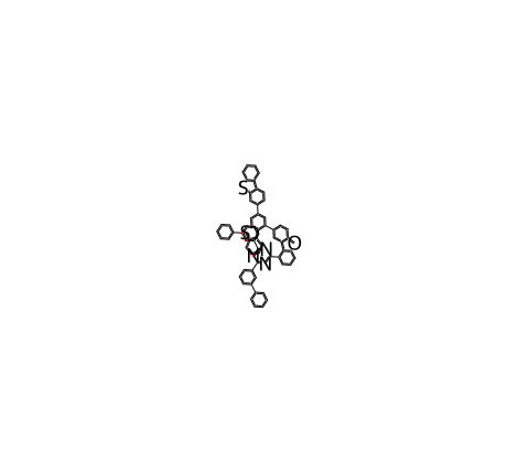 c1ccc(-c2cccc(-c3nc(-c4cccc(-c5ccccc5)c4)nc(-c4cccc5oc6ccc(-c7cc(-c8ccc9c(c8)sc8ccccc89)cc8sc9ccccc9c78)cc6c45)n3)c2)cc1